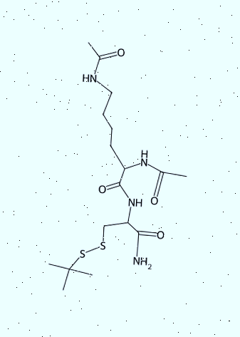 CC(=O)NCCCCC(NC(C)=O)C(=O)NC(CSSC(C)(C)C)C(N)=O